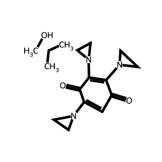 CCC.CO.O=C1C=C(N2CC2)C(=O)C(N2CC2)=C1N1CC1